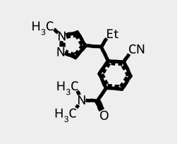 CCC(c1cnn(C)c1)c1cc(C(=O)N(C)C)ccc1C#N